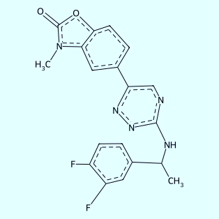 CC(Nc1ncc(-c2ccc3oc(=O)n(C)c3c2)nn1)c1ccc(F)c(F)c1